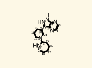 c1cnc2c(n1)NNN2[C@@H]1CCCN(C2CCCCSN2)C1